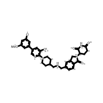 COc1cc(Cl)cc(-c2cnc(N3CCC(CNCc4ccc5c(c4)CN(C4CCC(=O)NC4=O)C5=O)CC3)c(C(F)(F)F)c2)c1